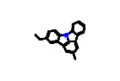 CCc1ccc2c(c1)c1cc(C)cc3c4ccccc4n2c31